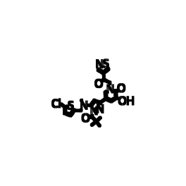 CN(Cc1ccc(Cl)s1)c1cc(-c2cc(O)c(=O)n(CC(=O)c3cnsc3)c2)nn1C(=O)C(C)(C)C